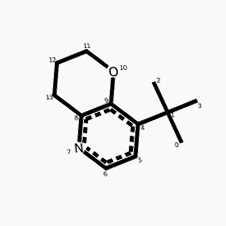 CC(C)(C)c1ccnc2c1OCCC2